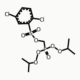 CC(C)OOP(=O)(COS(=O)(=O)c1cc(Cl)ccc1Cl)OOC(C)C